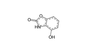 O=c1[nH]c2c(O)cccc2o1